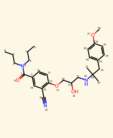 CCCN(CCC)C(=O)c1ccc(OCC(O)CNC(C)(C)Cc2ccc(OC)cc2)c(C#N)c1